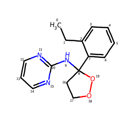 CCc1ccccc1C1(Nc2ncccn2)CCOO1